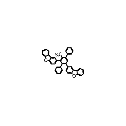 N#Cc1c(-c2ccccc2)cc(-c2ccc3oc4ccccc4c3c2)c(-c2ccccc2)c1-c1ccc2oc3ccccc3c2c1